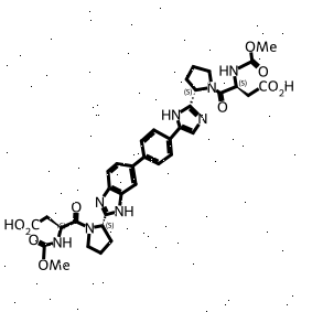 COC(=O)N[C@@H](CC(=O)O)C(=O)N1CCC[C@H]1c1ncc(-c2ccc(-c3ccc4nc([C@@H]5CCCN5C(=O)[C@H](CC(=O)O)NC(=O)OC)[nH]c4c3)cc2)[nH]1